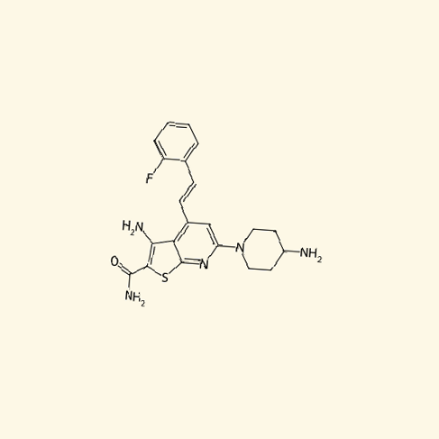 NC(=O)c1sc2nc(N3CCC(N)CC3)cc(/C=C/c3ccccc3F)c2c1N